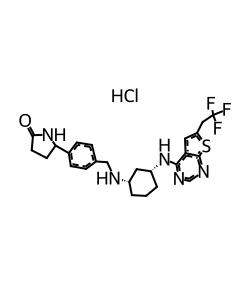 Cl.O=C1CCC(c2ccc(CN[C@H]3CCC[C@@H](Nc4ncnc5sc(CC(F)(F)F)cc45)C3)cc2)N1